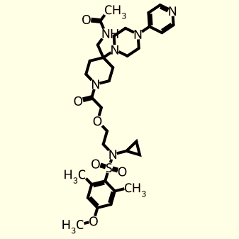 COc1cc(C)c(S(=O)(=O)N(CCOCC(=O)N2CCC(CNC(C)=O)(N3CCN(c4ccncc4)CC3)CC2)C2CC2)c(C)c1